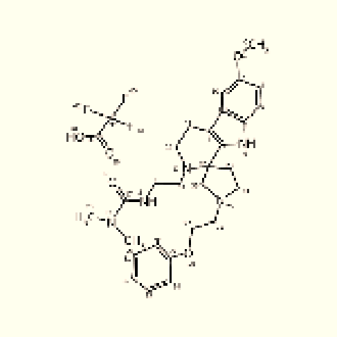 COc1ccc2[nH]c3c(c2c1)CCN(CCNC(=O)N(C)C)C31CCN(CCOc2ccccc2)C1.O=C(O)C(F)(F)F